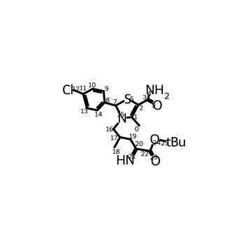 CC1=C(C(N)=O)SC(c2ccc(Cl)cc2)N1CC(C)CC(=N)C(=O)OC(C)(C)C